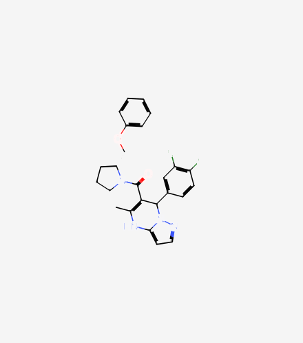 CC1=C(C(=O)N2CCC[C@@H]2COc2ccccc2)C(c2ccc(Cl)c(Cl)c2)n2nccc2N1